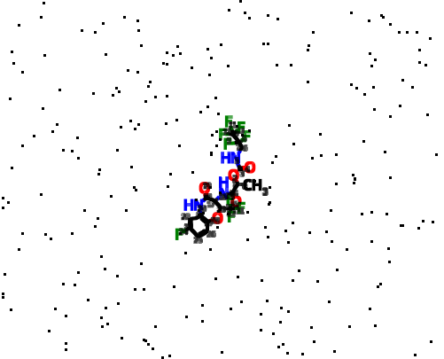 C[C@H](OC(=O)NCC(F)(F)C(F)(F)F)C(=O)N[C@@H]1C(=O)Nc2cc(F)ccc2O[C@@H]1C(F)(F)F